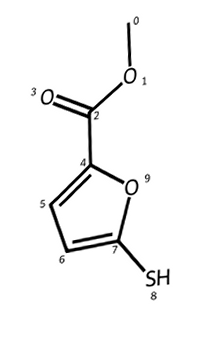 COC(=O)c1ccc(S)o1